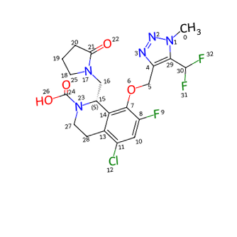 Cn1nnc(COc2c(F)cc(Cl)c3c2[C@@H](CN2CCCC2=O)N(C(=O)O)CC3)c1C(F)F